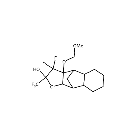 COCOC12C3CC(C4CCCCC43)C1OC(O)(C(F)(F)F)C2(F)F